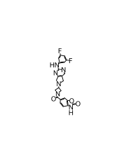 O=C(c1ccc2[nH]c(=O)oc2c1)N1CC(N2Cc3cnc(Nc4cc(F)cc(F)c4)nc3C2)C1